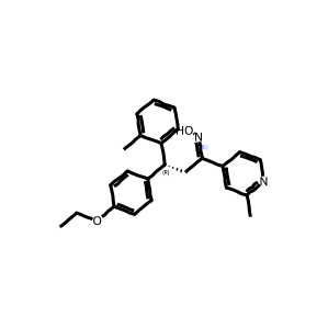 CCOc1ccc([C@@H](C/C(=N\O)c2ccnc(C)c2)c2ccccc2C)cc1